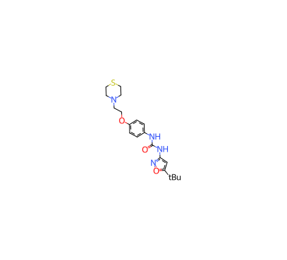 CC(C)(C)c1cc(NC(=O)Nc2ccc(OCCN3CCSCC3)cc2)no1